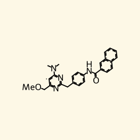 COCc1[c]c(N(C)C)nc(Cc2ccc(NC(=O)c3ccc4ccccc4c3)cc2)n1